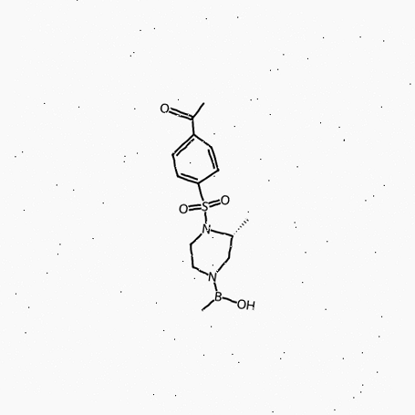 CB(O)N1CCN(S(=O)(=O)c2ccc(C(C)=O)cc2)[C@H](C)C1